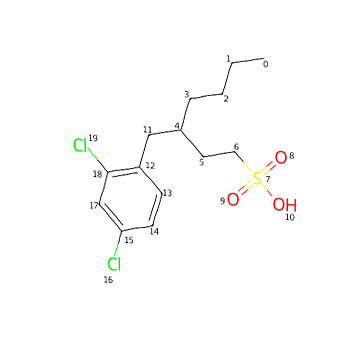 CCCCC(CCS(=O)(=O)O)Cc1ccc(Cl)cc1Cl